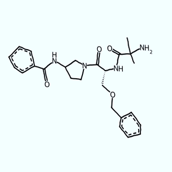 CC(C)(N)C(=O)N[C@H](COCc1ccccc1)C(=O)N1CCC(NC(=O)c2ccccc2)C1